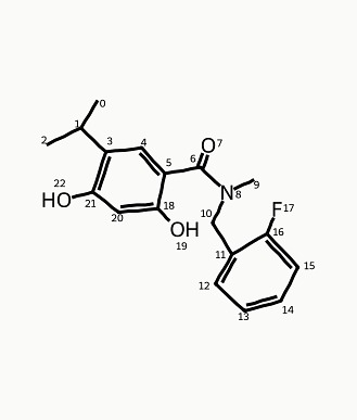 CC(C)c1cc(C(=O)N(C)Cc2ccccc2F)c(O)cc1O